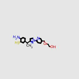 CC(c1ccc(N)c(S)c1)c1ccn(-c2ccc(COCCO)cn2)n1